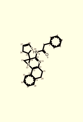 O=C(Cc1ccccc1)NC1=NC2=C(c3ccccc3CC2)N2CC12C1CC=CS1